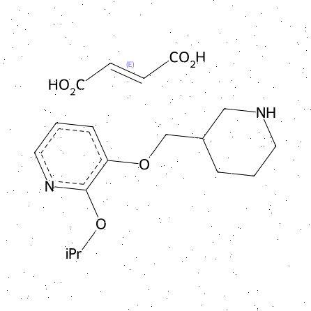 CC(C)Oc1ncccc1OCC1CCCNC1.O=C(O)/C=C/C(=O)O